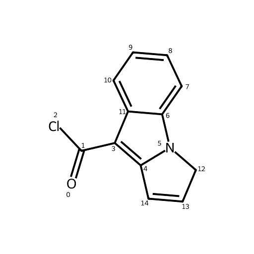 O=C(Cl)c1c2n(c3ccccc13)CC=C2